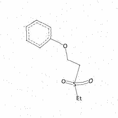 CCS(=O)(=O)CCOc1cc[c]cc1